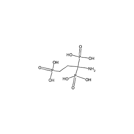 NC(CCP(=O)(O)O)(P(=O)(O)O)P(=O)(O)O